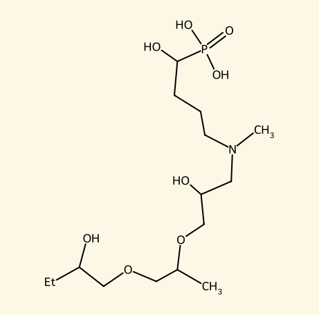 CCC(O)COCC(C)OCC(O)CN(C)CCCC(O)P(=O)(O)O